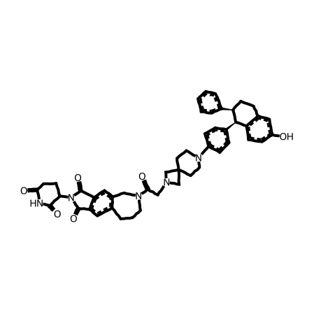 O=C1CCC(N2C(=O)c3cc4c(cc3C2=O)CN(C(=O)CN2CC3(CCN(c5ccc([C@@H]6c7ccc(O)cc7CC[C@@H]6c6ccccc6)cc5)CC3)C2)CCC4)C(=O)N1